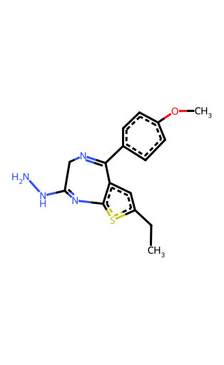 CCc1cc2c(s1)N=C(NN)CN=C2c1ccc(OC)cc1